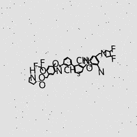 Cc1c(-c2nc3cc(COC(=O)[C@@H]4CCCN4)c(OC(F)F)cc3o2)cccc1-c1cccc(-c2nc3cc(CN4CC(F)C(F)C4)cc(C#N)c3o2)c1C